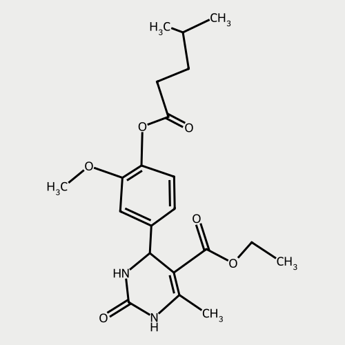 CCOC(=O)C1=C(C)NC(=O)NC1c1ccc(OC(=O)CCC(C)C)c(OC)c1